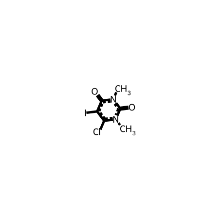 Cn1c(Cl)c(I)c(=O)n(C)c1=O